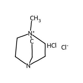 C[N+]12CCN(CC1)CC2.Cl.[Cl-]